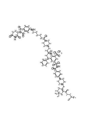 C=C(CCC(F)F)C1=C(CN2CCN(c3ccc(C(=O)NS(=O)(=O)c4ccc(N[C@H](CCN5CCN(C(=O)CCCCCNc6ccc7c(c6)C(=O)N(C6CCC(=O)NC6=O)C7=O)CC5)CSc5ccccc5)c(S(=O)(=O)C(F)(F)F)c4)cc3)CC2)CCC(C)(C)C1